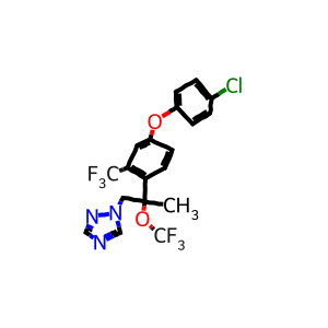 CC(Cn1cncn1)(OC(F)(F)F)c1ccc(Oc2ccc(Cl)cc2)cc1C(F)(F)F